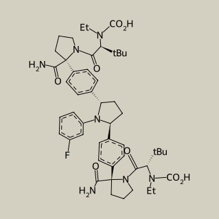 CCN(C(=O)O)[C@H](C(=O)N1CCC[C@@]1(C(N)=O)c1ccc([C@@H]2CC[C@@H](c3ccc([C@]4(C(N)=O)CCCN4C(=O)[C@@H](N(CC)C(=O)O)C(C)(C)C)cc3)N2c2cccc(F)c2)cc1)C(C)(C)C